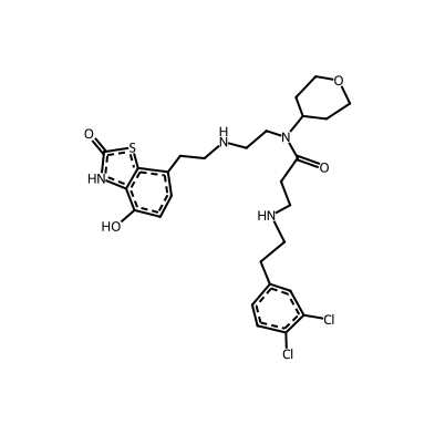 O=C(CCNCCc1ccc(Cl)c(Cl)c1)N(CCNCCc1ccc(O)c2[nH]c(=O)sc12)C1CCOCC1